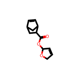 O=C(OC1C=CCO1)C1CC2C=CC1C2